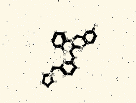 Fc1ccc2c(c1)CN(c1ccccc1Cl)C(CCc1cccc(CN3CCCC3)n1)=N2